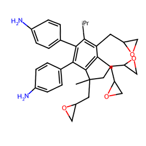 CC(C)c1c(CC2CO2)c(CC2CO2)c(C(C)(CCC2CO2)CC2CO2)c(-c2ccc(N)cc2)c1-c1ccc(N)cc1